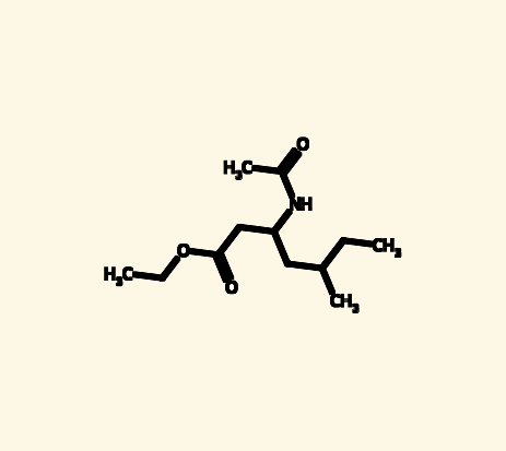 CCOC(=O)CC(CC(C)CC)NC(C)=O